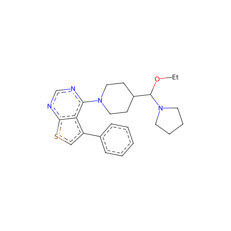 CCOC(C1CCN(c2ncnc3scc(-c4ccccc4)c23)CC1)N1CCCC1